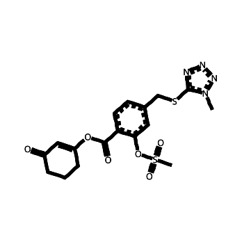 Cn1nnnc1SCc1ccc(C(=O)OC2=CC(=O)CCC2)c(OS(C)(=O)=O)c1